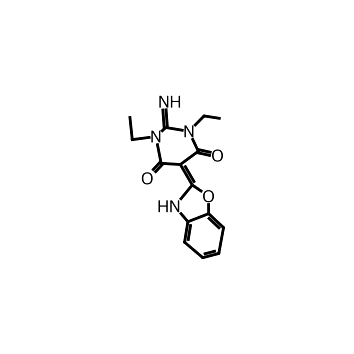 CCN1C(=N)N(CC)C(=O)C(=C2Nc3ccccc3O2)C1=O